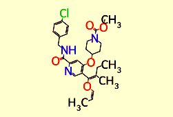 C/C=C\O/C(=C(\C)CC)c1cnc(C(=O)NCc2ccc(Cl)cc2)cc1OC1CCN(C(=O)OC)CC1